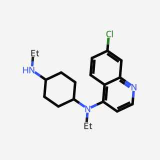 CCNC1CCC(N(CC)c2ccnc3cc(Cl)ccc23)CC1